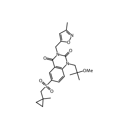 COC(C)(C)Cn1c(=O)n(Cc2cc(C)no2)c(=O)c2cc(S(=O)(=O)CC3(C)CC3)ccc21